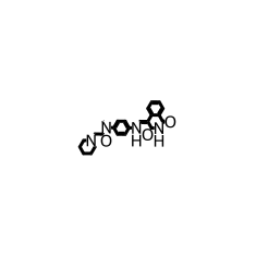 CN(C(=O)CN1CCCCC1)c1ccc(N/C=C2\C(=O)NC(=O)c3ccccc32)cc1